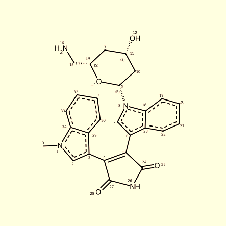 Cn1cc(C2=C(c3cn([C@H]4C[C@@H](O)C[C@@H](CN)O4)c4ccccc34)C(=O)NC2=O)c2ccccc21